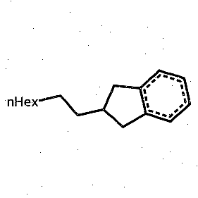 CCCCCCCCC1Cc2ccccc2C1